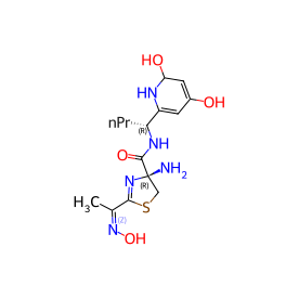 CCC[C@@H](NC(=O)[C@]1(N)CSC(/C(C)=N\O)=N1)C1=CC(O)=CC(O)N1